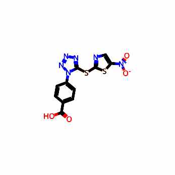 O=C(O)c1ccc(-n2nnnc2Sc2ncc([N+](=O)[O-])s2)cc1